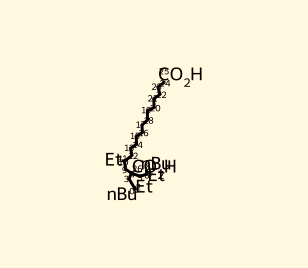 CCCCC(CC)CC(CC(CC)CCCC)(CC(CC)CCCCCCCCCCCCCC(=O)O)C(=O)O